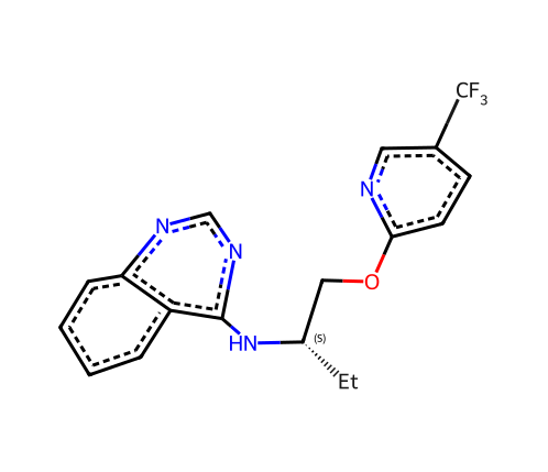 CC[C@@H](COc1ccc(C(F)(F)F)cn1)Nc1ncnc2ccccc12